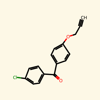 C#CCOc1ccc(C(=O)c2ccc(Cl)cc2)cc1